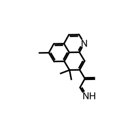 C=C(C=N)C1=Cc2nccc3cc(C)cc(c23)C1(C)C